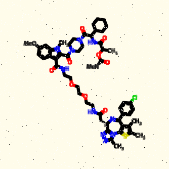 CNC(=O)OC(C)C(=O)NC(C(=O)N1CCN(C(=O)c2c(C(=O)NCCOCCOCCNC(=O)C[C@@H]3N=C(c4ccc(Cl)cc4)c4c(sc(C)c4C)-n4c(C)nnc43)c3ccc(OC)cc3n2C)CC1)C1CCCCC1